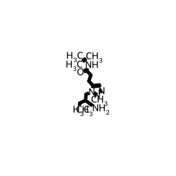 CCC(Cn1nncc1CCC(=O)NC(C)(C)C)C(C)(C)N